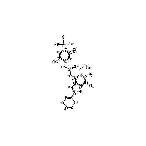 CCc1c(Br)c(=O)n2nc(C3=CCOCC3)nc2n1CC(=O)Nc1cc(Cl)c(C(F)(F)F)cc1Cl